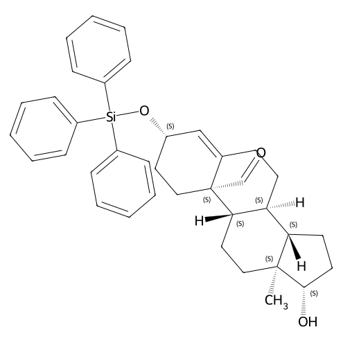 C[C@]12CC[C@H]3[C@@H](CCC4=C[C@@H](O[Si](c5ccccc5)(c5ccccc5)c5ccccc5)CC[C@@]43C=O)[C@@H]1CC[C@@H]2O